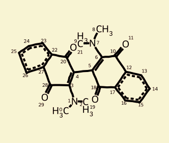 CN(C)C1=C(C2=C(N(C)C)C(=O)c3ccccc3C2=O)C(=O)c2ccccc2C1=O